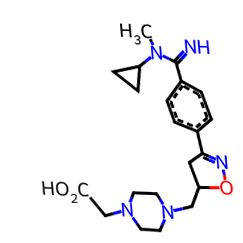 CN(C(=N)c1ccc(C2=NOC(CN3CCN(CC(=O)O)CC3)C2)cc1)C1CC1